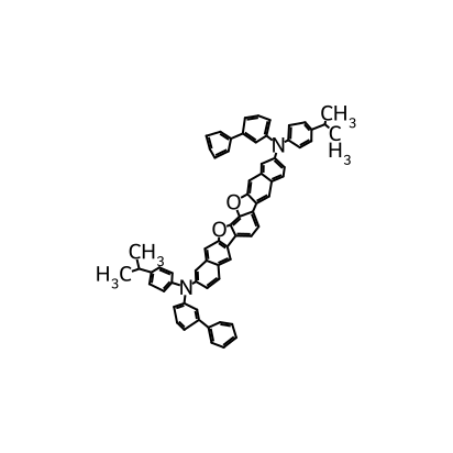 CC(C)c1ccc(N(c2cccc(-c3ccccc3)c2)c2ccc3cc4c(cc3c2)oc2c4ccc3c4cc5ccc(N(c6ccc(C(C)C)cc6)c6cccc(-c7ccccc7)c6)cc5cc4oc32)cc1